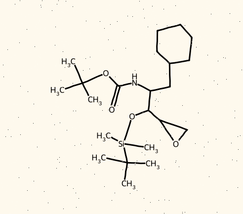 CC(C)(C)OC(=O)NC(CC1CCCCC1)C(O[Si](C)(C)C(C)(C)C)C1CO1